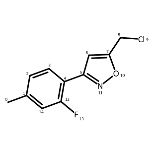 Cc1ccc(-c2cc(CCl)on2)c(F)c1